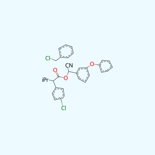 CC(C)C(C(=O)OC(C#N)c1cccc(Oc2ccccc2)c1)c1ccc(Cl)cc1.ClCc1ccccc1